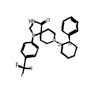 O=C1NCN(c2ccc(C(F)(F)F)cc2)C12CCN([C@@H]1CCCC[C@@H]1c1ccccc1)CC2